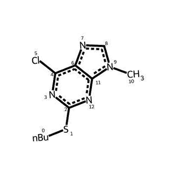 CCCCSc1nc(Cl)c2ncn(C)c2n1